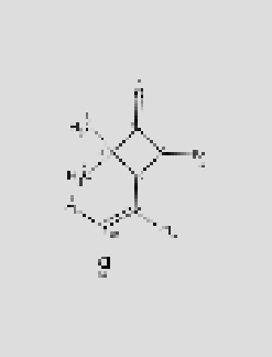 CC1(C)C(=O)C(Br)C1C(Cl)=C(Cl)Cl